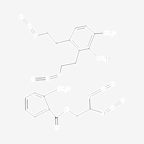 O=C=NC(COC(=O)c1ccccc1C(=O)O)N=C=O.O=C=NCCc1ccc(C(=O)O)c(C(=O)O)c1CCN=C=O